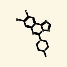 CN1CCN(c2nc3cc(Br)c(F)cc3c3ncnn23)CC1